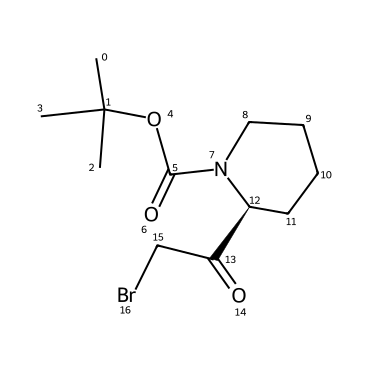 CC(C)(C)OC(=O)N1CCCC[C@H]1C(=O)CBr